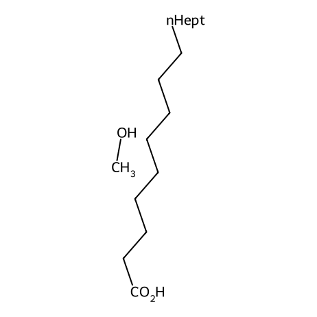 CCCCCCCCCCCCCCCC(=O)O.CO